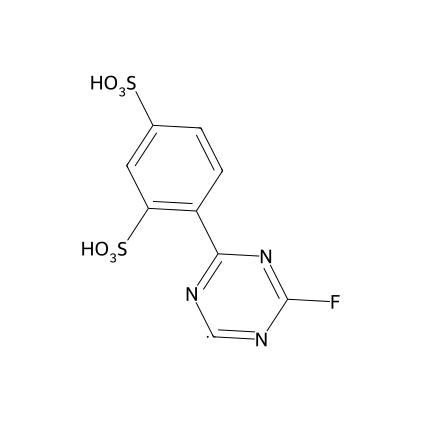 O=S(=O)(O)c1ccc(-c2n[c]nc(F)n2)c(S(=O)(=O)O)c1